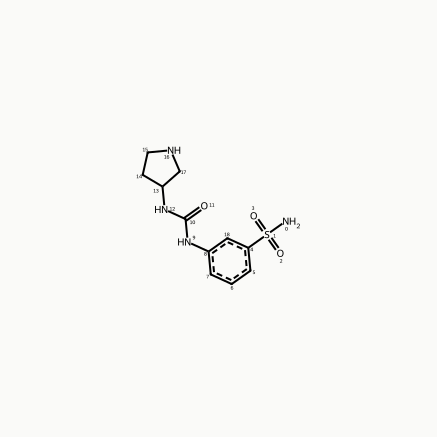 NS(=O)(=O)c1cccc(NC(=O)NC2CCNC2)c1